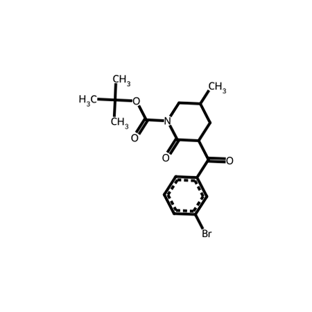 CC1CC(C(=O)c2cccc(Br)c2)C(=O)N(C(=O)OC(C)(C)C)C1